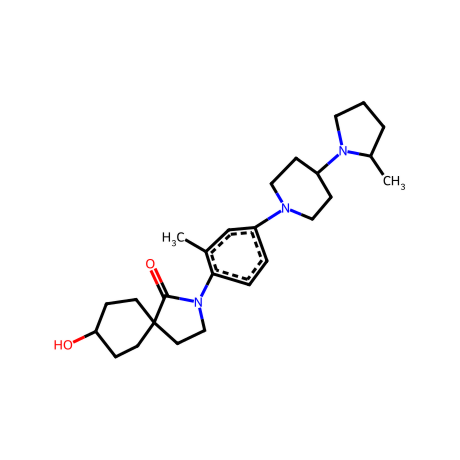 Cc1cc(N2CCC(N3CCCC3C)CC2)ccc1N1CCC2(CCC(O)CC2)C1=O